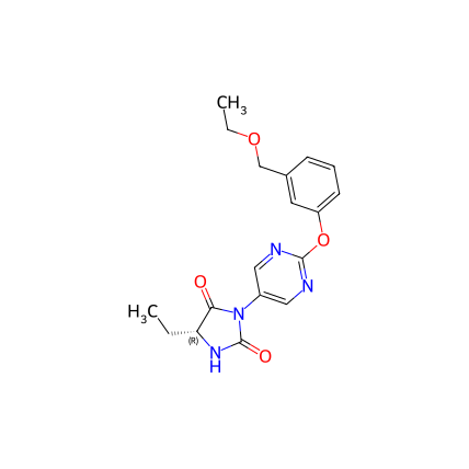 CCOCc1cccc(Oc2ncc(N3C(=O)N[C@H](CC)C3=O)cn2)c1